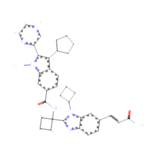 CC(=O)/C=C/c1ccc2nc(C3(NC(=O)c4ccc5c(C6CCCC6)c(-c6cnccn6)n(C)c5c4)CCC3)n(C3CCC3)c2c1